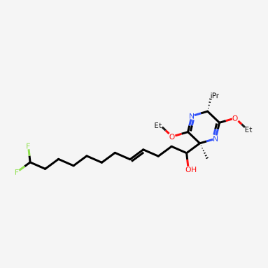 CCOC1=N[C@@](C)(C(O)CC/C=C/CCCCCCC(F)F)C(OCC)=N[C@@H]1C(C)C